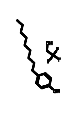 CCCCCCCCCc1ccc(O)cc1.OCC(F)(F)F